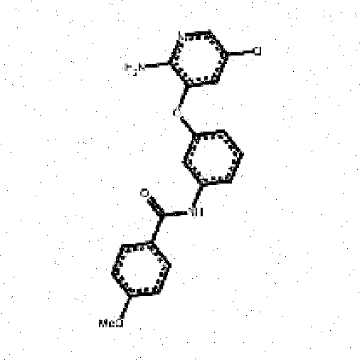 COc1ccc(C(=O)Nc2cccc(Oc3cc(Cl)cnc3N)c2)cc1